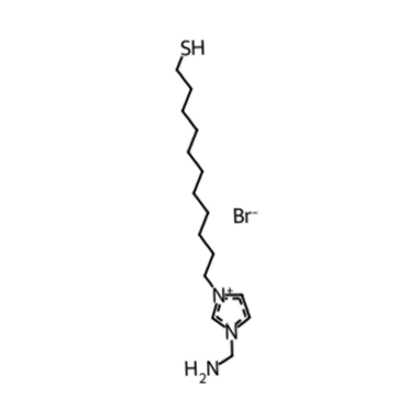 NCn1cc[n+](CCCCCCCCCCCS)c1.[Br-]